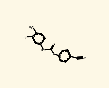 C#Cc1ccc(NC(=S)Nc2ccc(N)c(N)c2)cc1